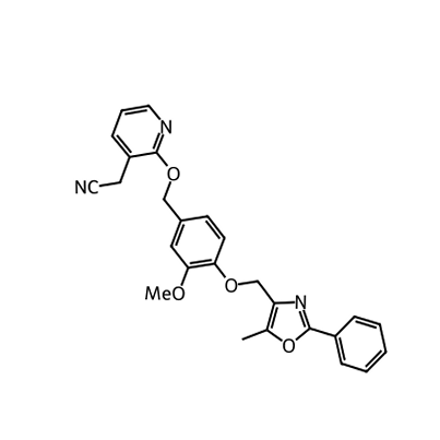 COc1cc(COc2ncccc2CC#N)ccc1OCc1nc(-c2ccccc2)oc1C